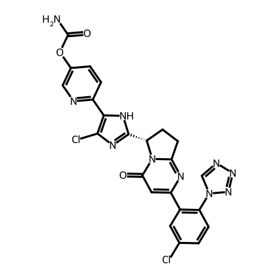 NC(=O)Oc1ccc(-c2[nH]c([C@@H]3CCc4nc(-c5cc(Cl)ccc5-n5cnnn5)cc(=O)n43)nc2Cl)nc1